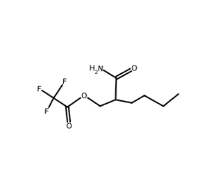 CCCCC(COC(=O)C(F)(F)F)C(N)=O